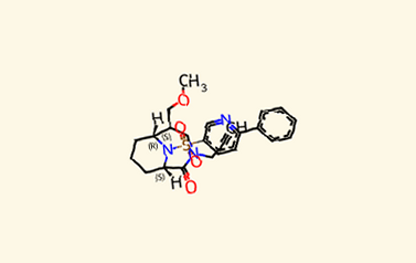 C#CCN1C[C@H](COC)[C@H]2CCC[C@@H](C1=O)N2S(=O)(=O)c1ccc(-c2ccccc2)nc1